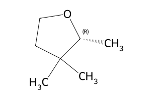 C[C@H]1OCCC1(C)C